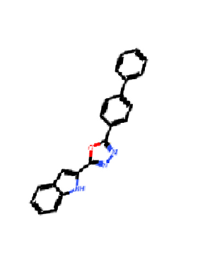 c1ccc(-c2ccc(-c3nnc(-c4cc5ccccc5[nH]4)o3)cc2)cc1